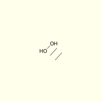 CC.CC.OO